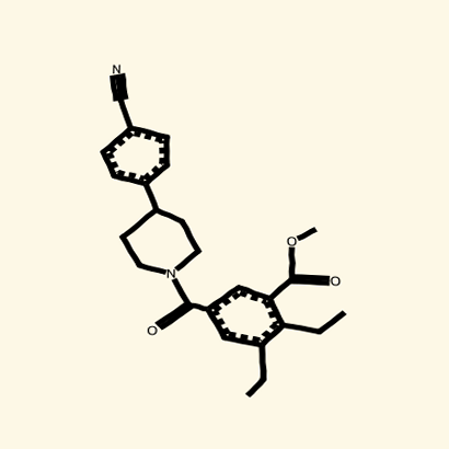 CCc1cc(C(=O)N2CCC(c3ccc(C#N)cc3)CC2)cc(C(=O)OC)c1CC